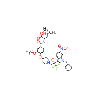 COc1cc(C(=O)NC(CC(C)C)C(=O)O)ccc1OC1CCN(CC(O)(c2cn(Cc3ccccc3)c3cc([N+](=O)[O-])ccc23)C(F)(F)F)CC1